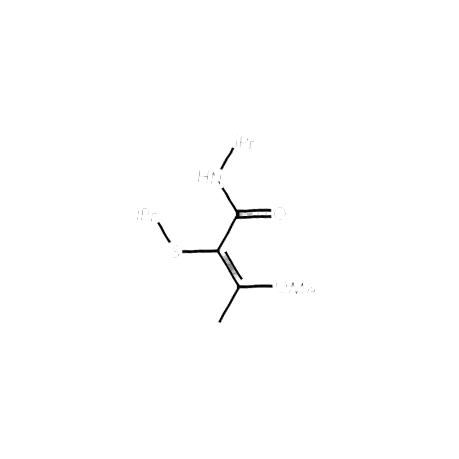 CO/C(C)=C(/SC(C)C)C(=O)NC(C)C